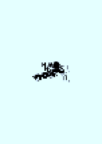 CCCCc1[nH]c(=O)c(S(=O)(=O)c2ccc(-c3ccc(F)nc3)cc2)c(O)c1-c1c(OC)cccc1OC